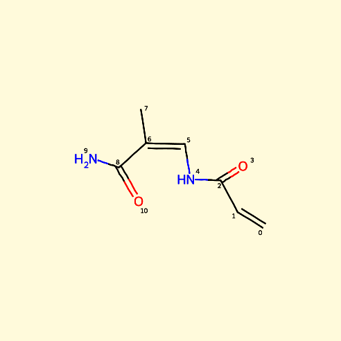 C=CC(=O)NC=C(C)C(N)=O